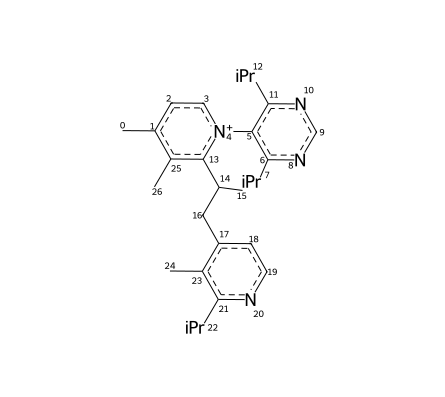 Cc1cc[n+](-c2c(C(C)C)ncnc2C(C)C)c(C(C)Cc2ccnc(C(C)C)c2C)c1C